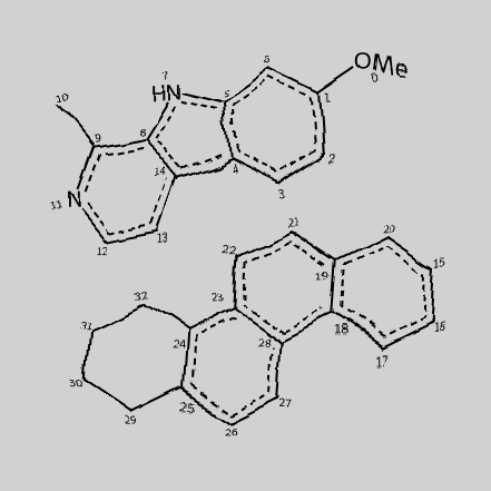 COc1ccc2c(c1)[nH]c1c(C)nccc12.c1ccc2c(c1)ccc1c3c(ccc12)CCCC3